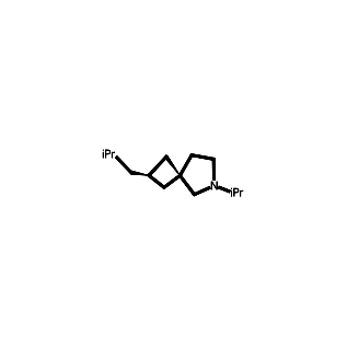 CC(C)C[C@H]1C[C@]2(CCN(C(C)C)C2)C1